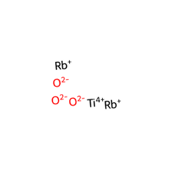 [O-2].[O-2].[O-2].[Rb+].[Rb+].[Ti+4]